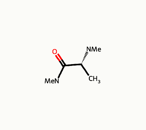 CNC(=O)[C@@H](C)NC